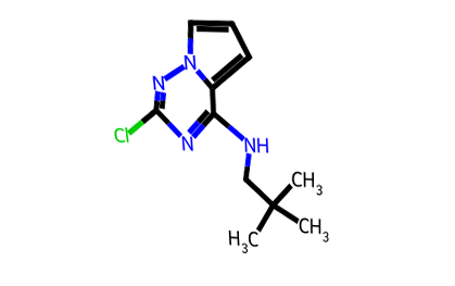 CC(C)(C)CNc1nc(Cl)nn2cccc12